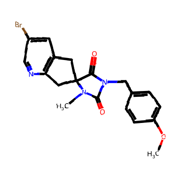 COc1ccc(CN2C(=O)N(C)C3(Cc4cc(Br)cnc4C3)C2=O)cc1